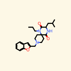 CCCN1C(=O)C(CC(C)C)NC(=O)C12CCN(Cc1cc3ccccc3o1)CC2